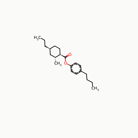 CCCCc1ccc(OC(=O)[C@@H]2CC[C@H](CCC)C[C@H]2C)cc1